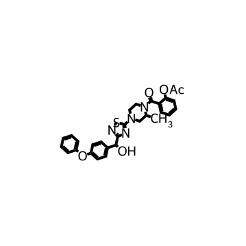 CC(=O)Oc1ccccc1C(=O)N1CCN(c2nc(C(O)c3ccc(Oc4ccccc4)cc3)ns2)CC1C